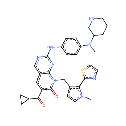 CN(c1ccc(Nc2ncc3cc(C(=O)C4CC4)c(=O)n(Cc4ccn(C)c4-c4nccs4)c3n2)cc1)C1CCCNC1